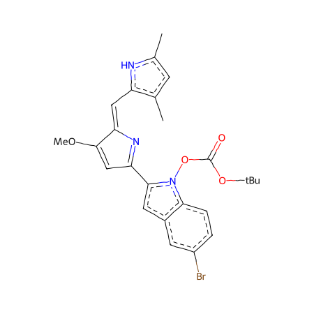 COC1=CC(c2cc3cc(Br)ccc3n2OC(=O)OC(C)(C)C)=NC1=Cc1[nH]c(C)cc1C